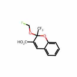 O=C(O)C1=Cc2ccccc2OC1(OCF)C(F)(F)F